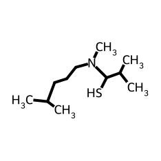 CC(C)CCCN(C)C(S)C(C)C